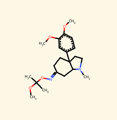 COc1ccc(C23CCC(=NOC(C)(C)OC)CC2N(C)CC3)cc1OC